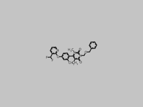 Cc1cc(Oc2ncccc2C(F)F)ccc1-c1c(C)c(=O)n(COCc2ccccc2)c(=O)n1C